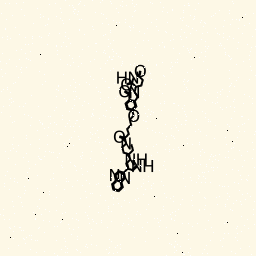 N=C/C(=C\NC1CCN(C(=O)CCCCOc2ccc3c(c2)CN(C2CCC(=O)NC2=O)C3=O)CC1)c1cnc2ccccc2n1